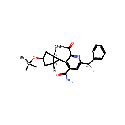 CNC(=O)c1nc([C@@H](C)c2ccccc2)cc(C(N)=O)c1C1[C@H]2CC(O[Si](C)(C)C(C)(C)C)C[C@@H]12